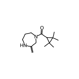 C=C1CN(C(=O)C2C(C)(C)C2(C)C)CCCN1